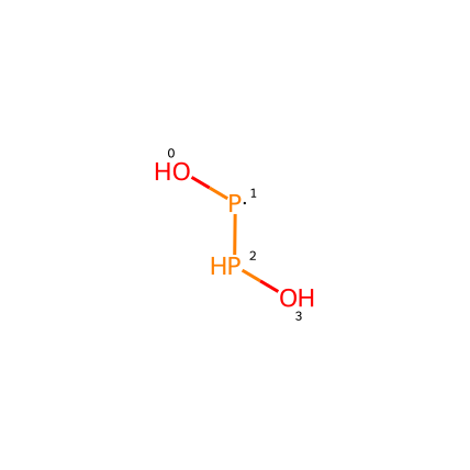 O[P]PO